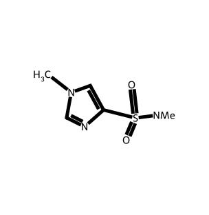 [CH2]NS(=O)(=O)c1cn(C)cn1